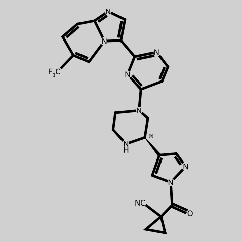 N#CC1(C(=O)n2cc([C@@H]3CN(c4ccnc(-c5cnc6ccc(C(F)(F)F)cn56)n4)CCN3)cn2)CC1